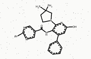 CC(C)c1ncc(C(=O)Nc2c(-c3ccccc3)cc(O)nc2N2CCC(P)(P)C2)cn1